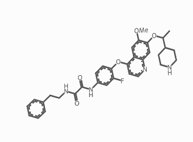 COc1cc2c(Oc3ccc(NC(=O)C(=O)NCCc4ccccc4)cc3F)ccnc2cc1OC(C)C1CCNCC1